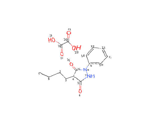 CCCCC1C(=O)NN(c2ccccc2)C1=O.O=C(O)C(=O)O